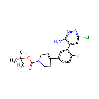 CC(C)(C)OC(=O)N1CC=C(c2ccc(F)c(-c3cc(Cl)nnc3N)c2)CC1